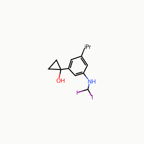 CC(C)c1cc(NC(I)I)cc(C2(O)CC2)c1